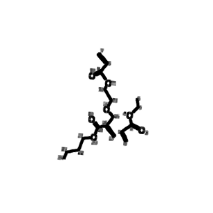 C=CC(=O)OCC.C=CC(=O)OCCOCC(=C)C(=O)OCCCC